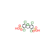 O=S(=O)(O)c1cc(Cl)c(Cl)c(Cc2c(Cl)c(Cl)cc(S(=O)(=O)O)c2Cl)c1Cl